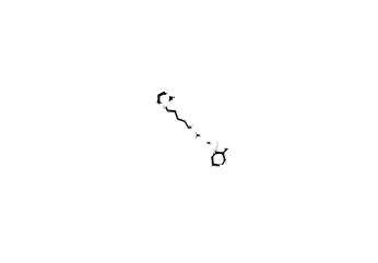 CC1CC[C@@H](C)C[C@H]1NCOC(=O)NCCCCCN1C(=O)C=CC1=O